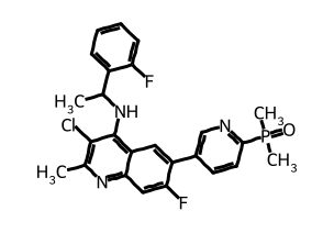 Cc1nc2cc(F)c(-c3ccc(P(C)(C)=O)nc3)cc2c(NC(C)c2ccccc2F)c1Cl